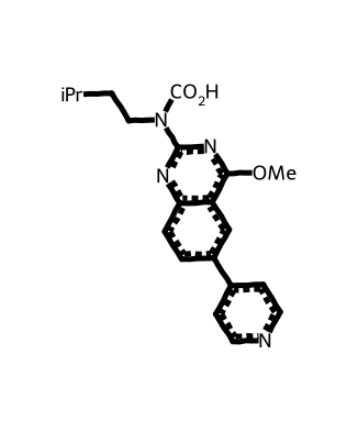 COc1nc(N(CCC(C)C)C(=O)O)nc2ccc(-c3ccncc3)cc12